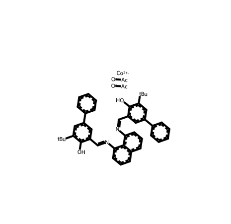 CC(=O)[O-].CC(=O)[O-].CC(C)(C)c1cc(-c2ccccc2)cc(C=Nc2cccc3cccc(N=Cc4cc(-c5ccccc5)cc(C(C)(C)C)c4O)c23)c1O.[Co+2]